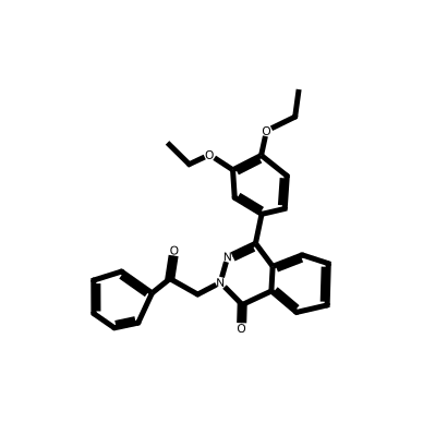 CCOc1ccc(-c2nn(CC(=O)c3ccccc3)c(=O)c3ccccc23)cc1OCC